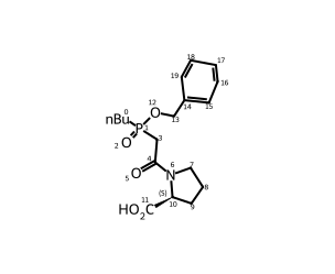 CCCCP(=O)(CC(=O)N1CCC[C@H]1C(=O)O)OCc1ccccc1